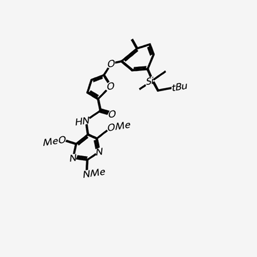 CNc1nc(OC)c(NC(=O)c2ccc(Oc3cc([Si](C)(C)CC(C)(C)C)ccc3C)o2)c(OC)n1